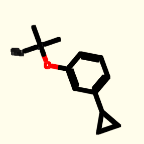 CC(C)(C)[Si](C)(C)Oc1cccc(C2CC2)c1